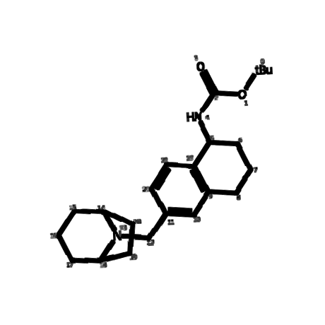 CC(C)(C)OC(=O)NC1CCCc2cc(CN3C4CCCC3CC4)ccc21